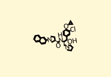 O=C(N[C@H](CN1CCCC1)[C@H](O)c1ccc(OC2CC2)c(Cl)c1)[C@@H]1CCN(c2ccc3ccccc3c2)C1